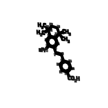 CCCc1cc2c(cc1/C=C/c1ccc(C(=O)O)cc1)C(C)(C)CCC2(C)C